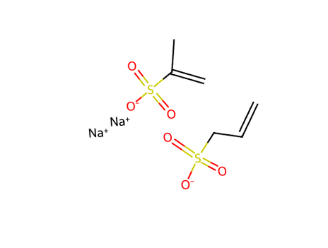 C=C(C)S(=O)(=O)[O-].C=CCS(=O)(=O)[O-].[Na+].[Na+]